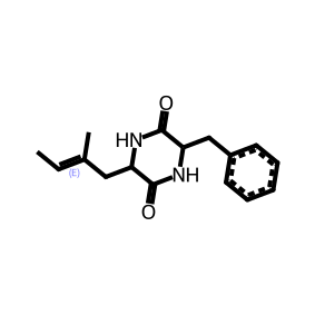 C/C=C(\C)CC1NC(=O)C(Cc2ccccc2)NC1=O